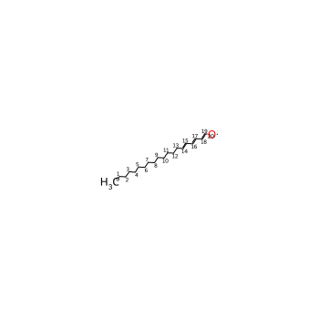 CCCCCCCCCCCCCCC=CC=CC=C[O]